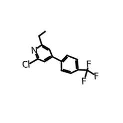 CCc1cc(-c2ccc(C(F)(F)F)cc2)cc(Cl)n1